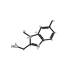 Cc1ccc2nc(CO)n(C)c2c1